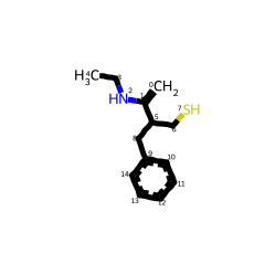 C=C(NCC)C(CS)Cc1ccccc1